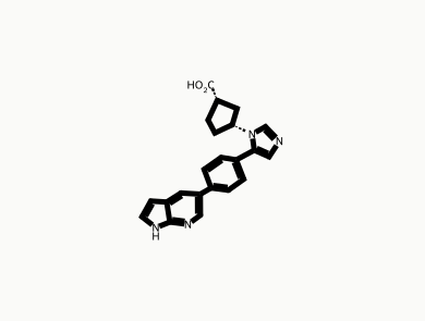 O=C(O)[C@H]1CC[C@@H](n2cncc2-c2ccc(-c3cnc4[nH]ccc4c3)cc2)C1